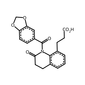 O=C(O)CCc1cccc2c1N(C(=O)c1ccc3c(c1)OCO3)C(=O)CC2